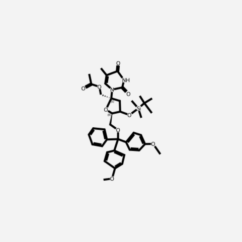 COc1ccc(C(OC[C@H]2O[C@@](COC(C)=O)(n3cc(C)c(=O)[nH]c3=O)CC2O[Si](C)(C)C(C)(C)C)(c2ccccc2)c2ccc(OC)cc2)cc1